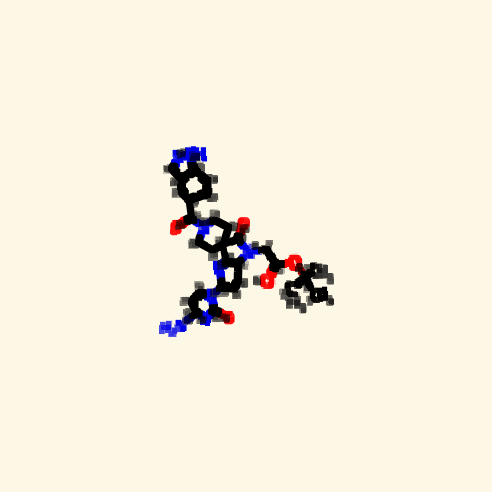 CC(C)(C)OC(=O)CN1C(=O)C2(CCN(C(=O)c3ccc4[nH]ncc4c3)CC2)c2nc(-n3ccc(N)nc3=O)ccc21